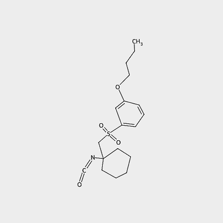 CCCCOc1cccc(S(=O)(=O)CC2(N=C=O)CCCCC2)c1